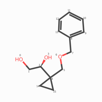 OC[C@@H](O)C1(COCc2ccccc2)CC1